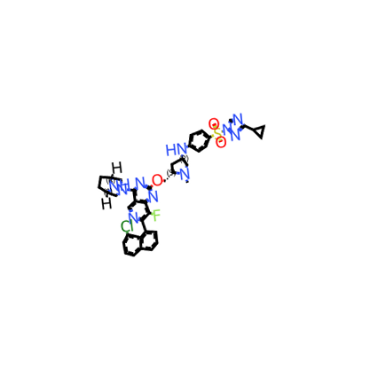 CN1C[C@H](Nc2ccc(S(=O)(=O)n3cnc(C4CC4)n3)cc2)C[C@H]1COc1nc(N2C[C@H]3CC[C@@H](C2)N3)c2cnc(-c3cccc4cccc(Cl)c34)c(F)c2n1